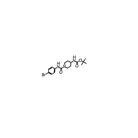 CC(C)(C)OC(=O)NC1CCN(C(=O)Nc2ccc(Br)cc2)CC1